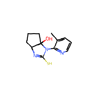 Cc1cccnc1N1C(S)=NC2CCCC21O